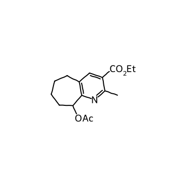 CCOC(=O)c1cc2c(nc1C)C(OC(C)=O)CCCC2